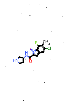 Cc1c(Cl)cc2cc(C(=O)N[C@H]3CCNC3)n(I)c2c1F